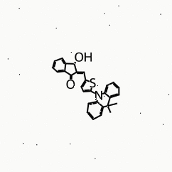 CC1(C)c2ccccc2N(c2ccc(/C=C3\C(=O)c4ccccc4C3O)s2)c2ccccc21